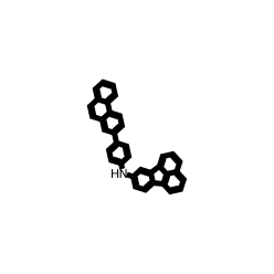 c1cc2c3c(cccc3c1)-c1cc(Nc3ccc(-c4ccc5c(ccc6ccccc65)c4)cc3)ccc1-2